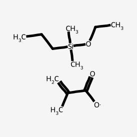 C=C(C)C([O])=O.CCC[Si](C)(C)OCC